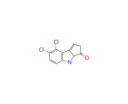 O=C1CC=C2c3c(ccc(Cl)c3Cl)[N]C12